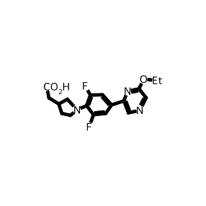 CCOc1cncc(-c2cc(F)c(N3CCC(CC(=O)O)C3)c(F)c2)n1